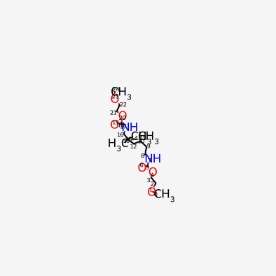 COCCOC(=O)NCCC(C)CC(C)(C)CNC(=O)OCCOC